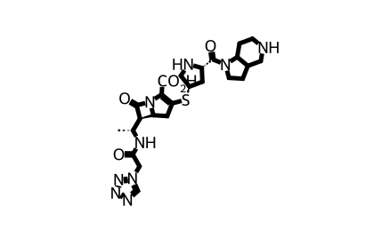 C[C@@H](NC(=O)Cn1cnnn1)[C@H]1C(=O)N2C(C(=O)O)=C(S[C@@H]3CN[C@H](C(=O)N4CCC5CNCCC54)C3)CC12